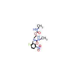 CCNC(=O)OCCN(Cc1cc([N+](=O)[O-])ccc1F)C(=O)NCC